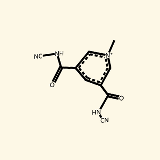 C[n+]1cc(C(=O)NC#N)cc(C(=O)NC#N)c1